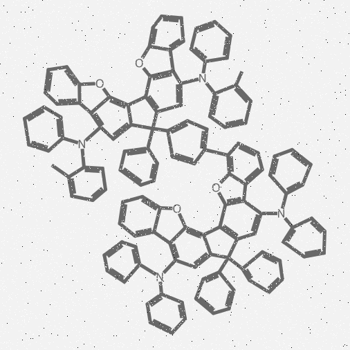 Cc1ccccc1N(c1ccccc1)c1cc2c(c3oc4ccccc4c13)-c1c(cc(N(c3ccccc3)c3ccccc3C)c3c1oc1ccccc13)C2(c1ccccc1)c1ccc(-c2cccc3c2oc2c4c(cc(N(c5ccccc5)c5ccccc5)c23)C(c2ccccc2)(c2ccccc2)c2cc(N(c3ccccc3)c3ccccc3)c3c(oc5ccccc53)c2-4)cc1